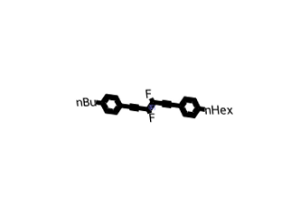 CCCCCCc1ccc(C#C/C(F)=C(\F)C#Cc2ccc(CCCC)cc2)cc1